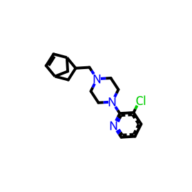 Clc1cccnc1N1CCN(CC2CC3C=CC2C3)CC1